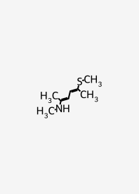 CN/C(C)=C/C=C(\C)SC